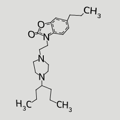 CCCc1ccc2c(c1)oc(=O)n2CCN1CCN(C(CCC)CCC)CC1